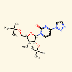 CC(=O)O[C@H]1[C@@H](O[Si](C)(C)C(C)(C)C)[C@H](n2ccc(-n3ccnn3)nc2=O)O[C@@H]1CO[Si](C)(C)C(C)(C)C